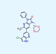 Cc1nc2c(cc1-c1cnc3[nH]cc(Cl)c3c1)n(C[C@H]1COCCO1)c(=O)n2-c1ccccc1